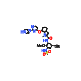 COc1c(NC(=O)c2cc3cccc(Oc4ccnc(N5CC6CC5CN6)n4)c3n2C)cc(C(C)(C)C)cc1NS(C)(=O)=O